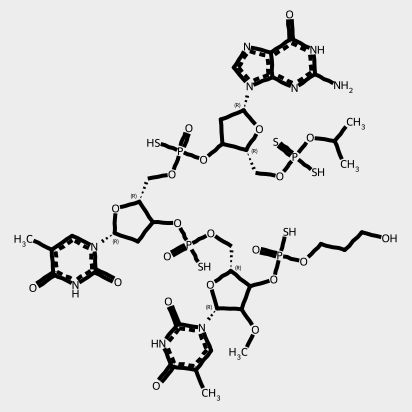 COC1C(OP(=O)(S)OCCCO)[C@@H](COP(=O)(S)OC2C[C@H](n3cc(C)c(=O)[nH]c3=O)O[C@@H]2COP(=O)(S)OC2C[C@H](n3cnc4c(=O)[nH]c(N)nc43)O[C@@H]2COP(=S)(S)OC(C)C)O[C@H]1n1cc(C)c(=O)[nH]c1=O